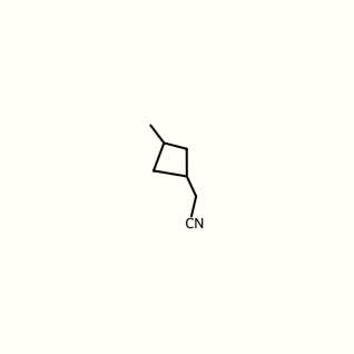 CC1CC(CC#N)C1